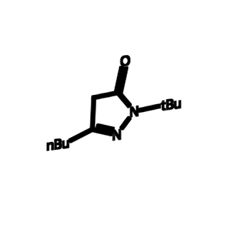 CCCCC1=NN(C(C)(C)C)C(=O)C1